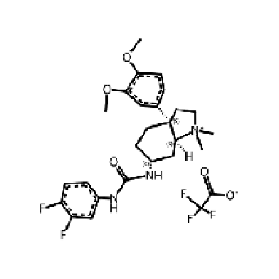 COc1ccc([C@@]23CC[C@@H](NC(=O)Nc4ccc(F)c(F)c4)C[C@@H]2[N+](C)(C)CC3)cc1OC.O=C([O-])C(F)(F)F